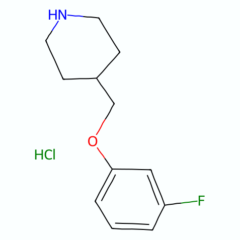 Cl.Fc1cccc(OCC2CCNCC2)c1